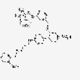 COc1ccccc1COCCCOc1ccc(C2CCN(C(=O)O)CC2OCc2cccc(B3OC(C)(C)C(C)(C)O3)c2)cc1